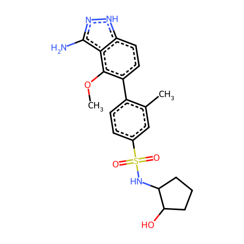 COc1c(-c2ccc(S(=O)(=O)NC3CCCC3O)cc2C)ccc2[nH]nc(N)c12